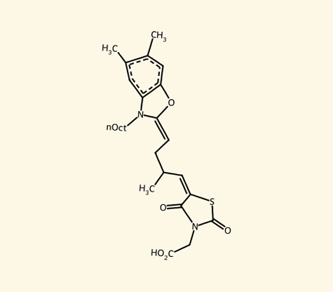 CCCCCCCCN1C(=CCC(C)C=C2SC(=O)N(CC(=O)O)C2=O)Oc2cc(C)c(C)cc21